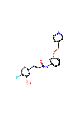 O=C(C=Cc1ccc(F)c(O)c1)Nc1cccc(OCc2ccncc2)c1